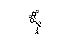 CN(C)CCCN(C)C(=O)CSC1CCCCC1Sc1cc(Cl)ccc1Cl